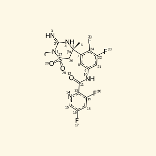 CN1C(=N)N[C@](C)(c2cc(NC(=O)c3ncc(F)cc3F)cc(F)c2F)CS1(=O)=O